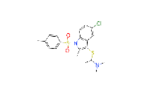 Cc1ccc(S(=O)(=O)n2c(C)c(SC(C)N(C)C)c3cc(Cl)ccc32)cc1